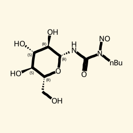 CCCCN(N=O)C(=O)N[C@@H]1O[C@H](CO)[C@@H](O)[C@H](O)[C@H]1O